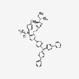 C=C(CC)N(c1ccc(OC)cc1)c1ccc(-c2ccc(N(c3ccc(-c4ccccc4)cc3)c3ccc(-c4ccccc4)cc3)cc2)cc1CCc1ccc(C(CC(C)(C)C)C(C)(C)C)cc1